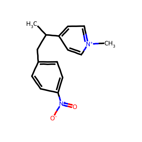 CC(Cc1ccc([N+](=O)[O-])cc1)c1cc[n+](C)cc1